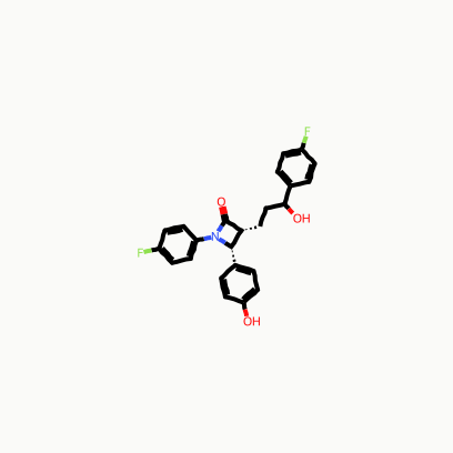 O=C1[C@H](CCC(O)c2ccc(F)cc2)[C@H](c2ccc(O)cc2)N1c1ccc(F)cc1